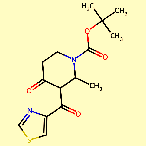 CC1C(C(=O)c2cscn2)C(=O)CCN1C(=O)OC(C)(C)C